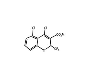 O=C(O)C1=C(Cl)c2c(Cl)cccc2OC1C(F)(F)F